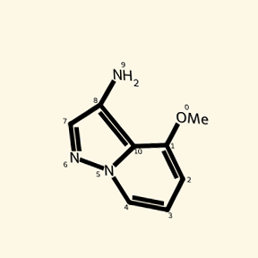 COc1cccn2ncc(N)c12